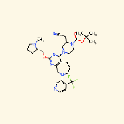 CN1CCC[C@H]1COc1nc2c(c(N3CCN(C(=O)OC(C)(C)C)C(CC#N)C3)n1)CCCN(c1cnccc1C(F)(F)F)C2